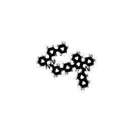 c1ccc(-c2cccc(-c3nc(-c4cccc(-c5ccc(-c6cc7c(-c8ccc9ccccc9c8)nc8ccccc8c7c7ccccc67)cc5)c4)nc4ccccc34)c2)cc1